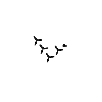 CP(C)C.CP(C)C.CP(C)C.CP(C)C.[Co]